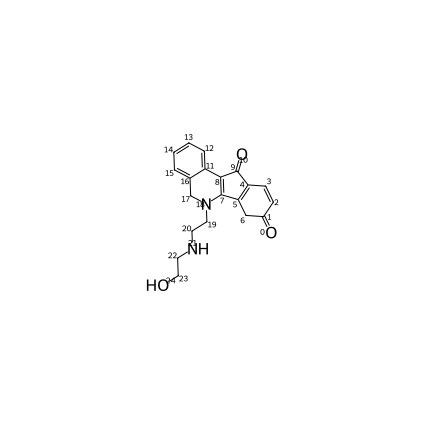 O=C1C=CC2=C(C1)C1=C(C2=O)c2ccccc2CN1CCNCCO